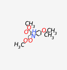 CCOC(=O)C=C(CC(=O)OCC)Nc1ccc(OC(C)C)cc1